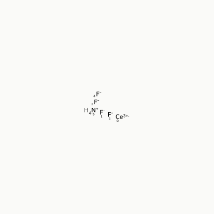 [Ce+3].[F-].[F-].[F-].[F-].[NH4+]